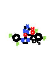 C[C@@H](N1CCN(c2ccc(F)cc2F)C1=O)[C@](O)(Cn1cncn1)c1ccc(F)cc1F